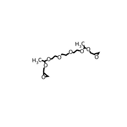 CC(OCCOCCOCCOC(C)OCC1CO1)OCC1CO1